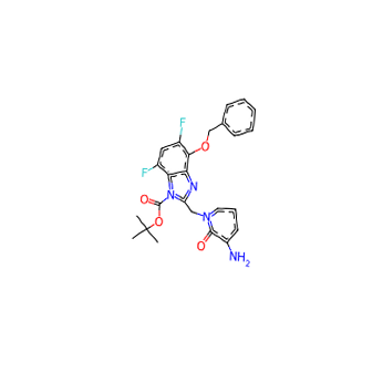 CC(C)(C)OC(=O)n1c(Cn2cccc(N)c2=O)nc2c(OCc3ccccc3)c(F)cc(F)c21